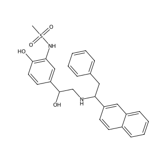 CS(=O)(=O)Nc1cc(C(O)CNC(Cc2ccccc2)c2ccc3ccccc3c2)ccc1O